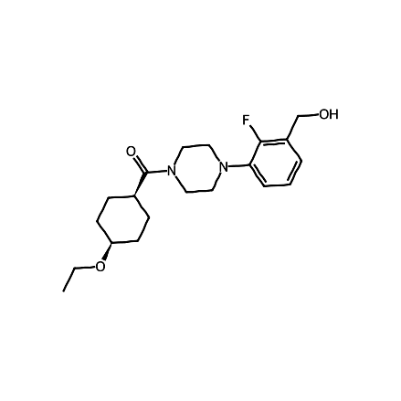 CCO[C@H]1CC[C@@H](C(=O)N2CCN(c3cccc(CO)c3F)CC2)CC1